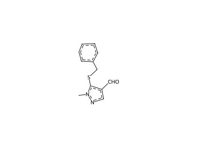 Cn1ncc(C=O)c1SCc1ccccc1